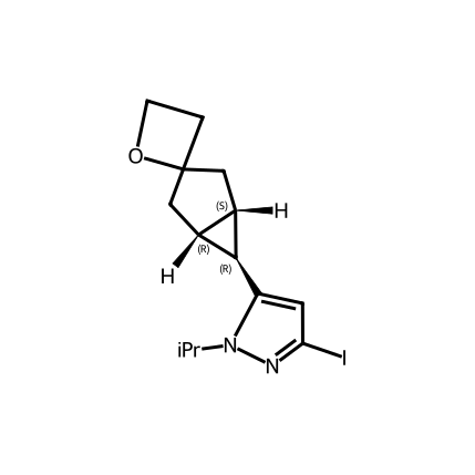 CC(C)n1nc(I)cc1[C@H]1[C@@H]2CC3(CCO3)C[C@@H]21